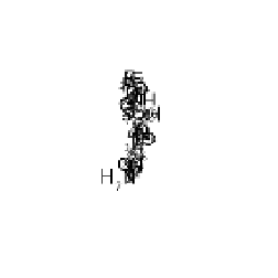 N[C@@H]1CCN(c2ccc(N3C[C@H](CC4C=C(Cl)C=C(C(=O)NOC(=O)C(F)(F)F)C4=S)OC3=O)cc2)C1=O